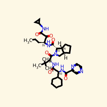 CCC[C@H](NC(=O)[C@@H]1[C@@H]2CCC[C@H]2CN1C(=O)[C@H](NC(=O)[C@@H](NC(=O)c1cnccn1)C1CCCCC1)C(C)(C)C)C(=O)C(=O)NC1CC1